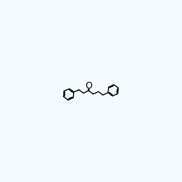 O=C(CCCc1ccccc1)CCc1ccccc1